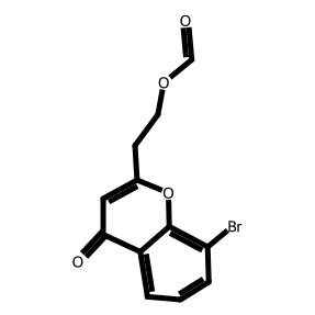 O=COCCc1cc(=O)c2cccc(Br)c2o1